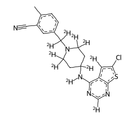 [2H]c1nc(N([2H])C2([2H])CC([2H])([2H])N(C([2H])([2H])c3ccc(C)c(C#N)c3)C([2H])([2H])C2)c2c([2H])c(Cl)sc2n1